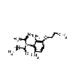 CCCOc1ccc(C)c(N(C(=N)N)C(=O)NC)c1C